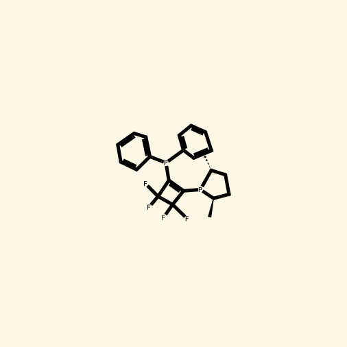 C[C@@H]1CC[C@@H](C)P1C1=C(P(c2ccccc2)c2ccccc2)C(F)(F)C1(F)F